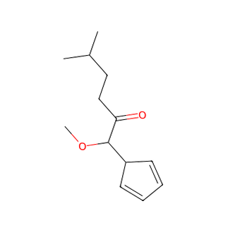 COC(C(=O)CCC(C)C)C1C=CC=C1